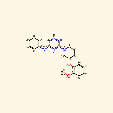 CCOC1=C(OC2CCCN(c3cncc(NC4=CCCC=C4)n3)C2)C=CCC1